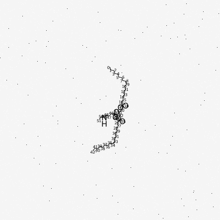 CCCCCCCC/C=C\CCCCCCCC(=O)OCC(COC(=O)CCCCCCC/C=C\CCCCCCCC)OC(=O)CCCNCC